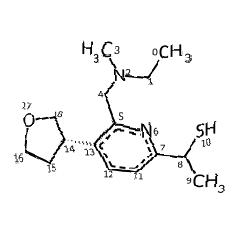 CCN(C)Cc1nc(C(C)S)ccc1[C@@H]1CCOC1